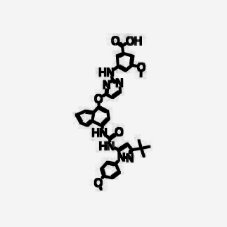 COc1ccc(-n2nc(C(C)(C)C)cc2NC(=O)Nc2ccc(Oc3ccnc(Nc4cc(OC)cc(C(=O)O)c4)n3)c3ccccc23)cc1